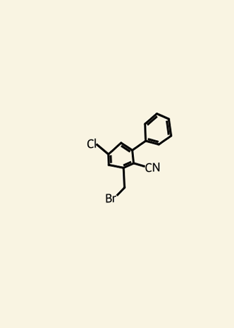 N#Cc1c(CBr)cc(Cl)cc1-c1ccccc1